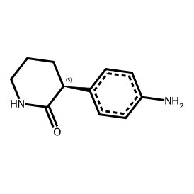 Nc1ccc([C@@H]2CCCNC2=O)cc1